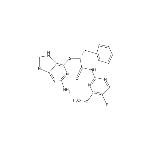 COc1nc(NC(=O)[C@@H](Cc2ccccc2)Sc2nc(N)nc3nc[nH]c23)ncc1F